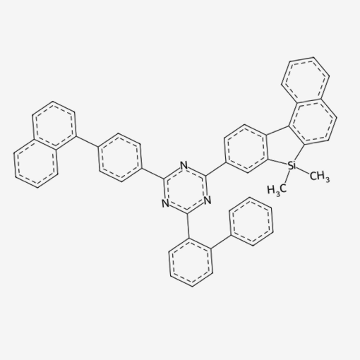 C[Si]1(C)c2cc(-c3nc(-c4ccc(-c5cccc6ccccc56)cc4)nc(-c4ccccc4-c4ccccc4)n3)ccc2-c2c1ccc1ccccc21